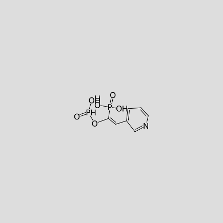 O=[PH](O)OC(=Cc1cccnc1)P(=O)(O)O